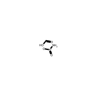 N[N+](=O)[O-].O=CO